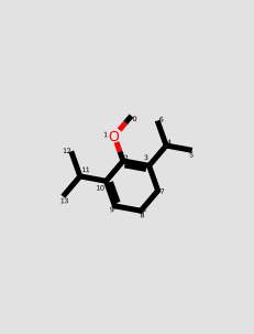 COC1=C(C(C)C)C[CH]C=C1C(C)C